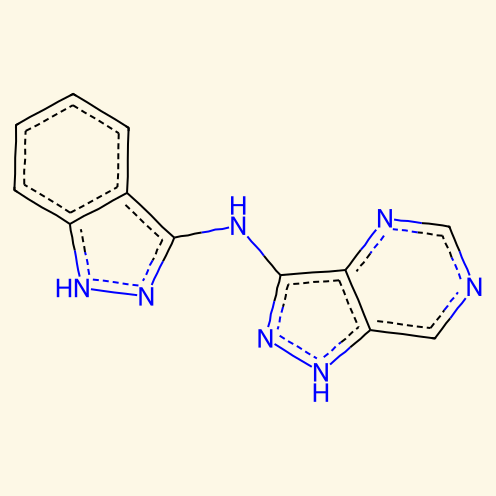 c1ccc2c(Nc3n[nH]c4cncnc34)n[nH]c2c1